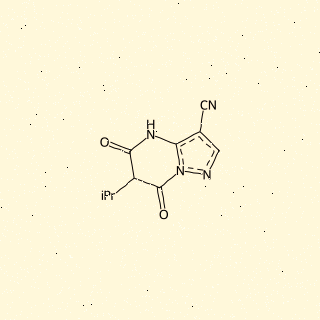 CC(C)C1C(=O)Nc2c(C#N)cnn2C1=O